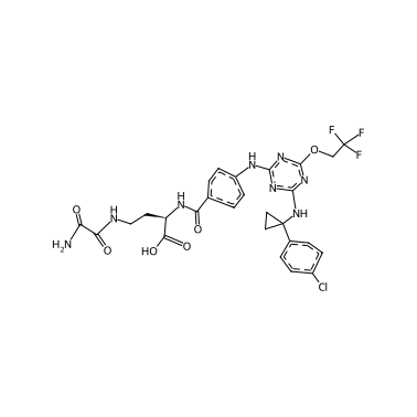 NC(=O)C(=O)NCC[C@@H](NC(=O)c1ccc(Nc2nc(NC3(c4ccc(Cl)cc4)CC3)nc(OCC(F)(F)F)n2)cc1)C(=O)O